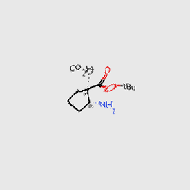 CC(C)(C)OC(=O)[C@]1(C(=O)O)CCC[C@H]1N